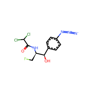 [N-]=[N+]=Nc1ccc([C@@H](O)[C@@H](CF)NC(=O)C(Cl)Cl)cc1